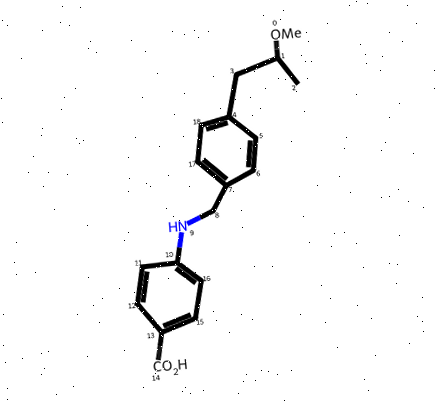 COC(C)Cc1ccc(CNc2ccc(C(=O)O)cc2)cc1